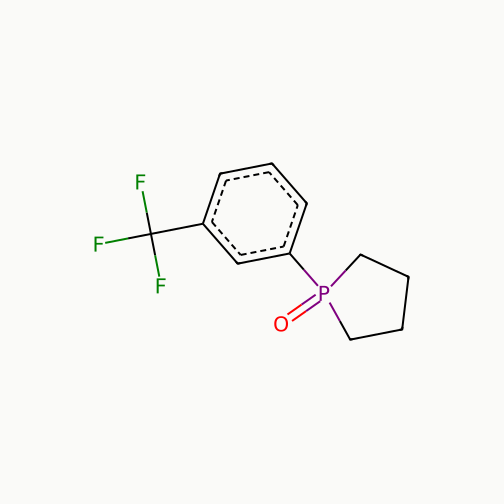 O=P1(c2cccc(C(F)(F)F)c2)CCCC1